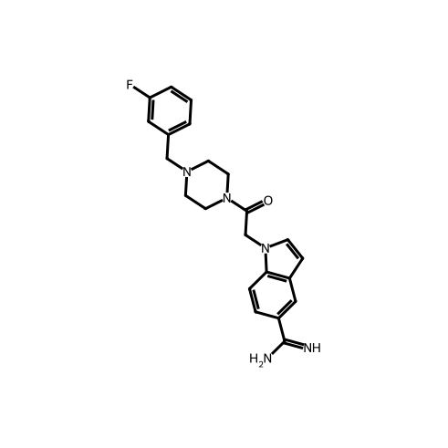 N=C(N)c1ccc2c(ccn2CC(=O)N2CCN(Cc3cccc(F)c3)CC2)c1